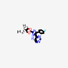 CC1(C)COC(c2nc(-c3ccc(F)cc3)c(-c3ccncn3)[nH]2)OC1